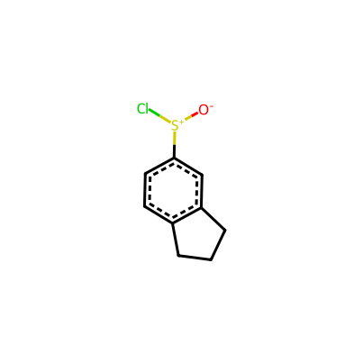 [O-][S+](Cl)c1ccc2c(c1)CCC2